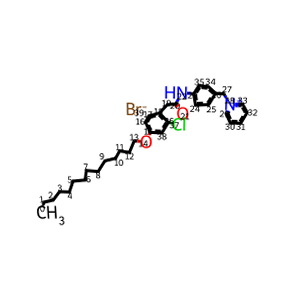 CCCCCCCCCCCCCCOc1ccc(CC(=O)Nc2ccc(C[n+]3ccccc3)cc2)c(Cl)c1.[Br-]